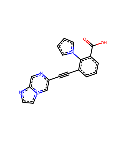 O=C(O)c1cccc(C#Cc2cn3ccnc3cn2)c1-n1cccc1